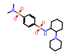 CN(C)S(=O)(=O)c1ccc(S(=O)(=O)NC2CCCCC2N2CCCCC2)cc1